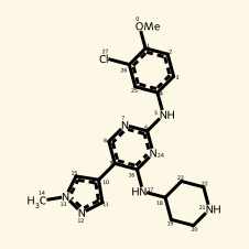 COc1ccc(Nc2ncc(-c3cnn(C)c3)c(NC3CCNCC3)n2)cc1Cl